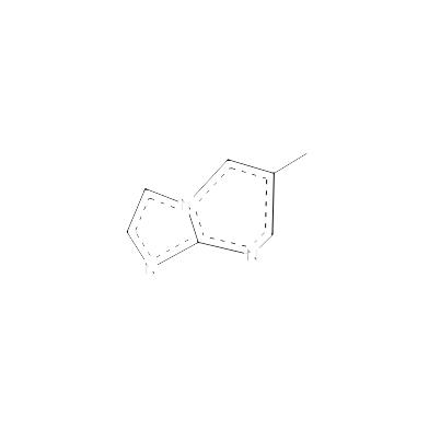 Cc1cnc2n[c]cn2c1